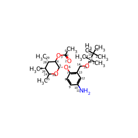 CC(=O)OC1[C@H](Oc2ccc(N)cc2CO[Si](C)(C)C(C)(C)C)OC(C)[C@@H](C)[C@@H]1C